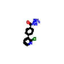 NNC(=O)[C@H]1CC[C@H](c2cccnc2Cl)CC1